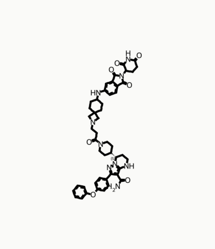 NC(=O)c1c(-c2ccc(Oc3ccccc3)cc2)nn2c1NCC[C@H]2C1CCN(C(=O)CCN2CC3(CCC(Nc4ccc5c(c4)C(=O)N(C4CCC(=O)NC4=O)C5=O)CC3)C2)CC1